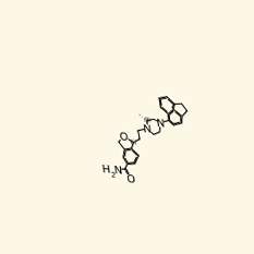 C[C@@H]1CN(c2ccc3c4c(cccc24)CC3)CCN1CC[C@@H]1OCc2cc(C(N)=O)ccc21